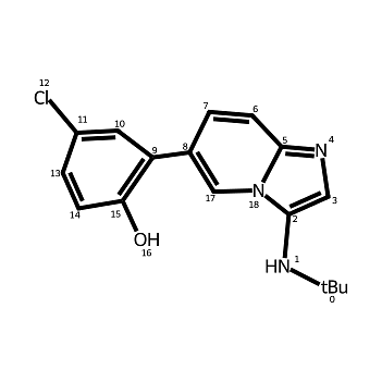 CC(C)(C)Nc1cnc2ccc(-c3cc(Cl)ccc3O)cn12